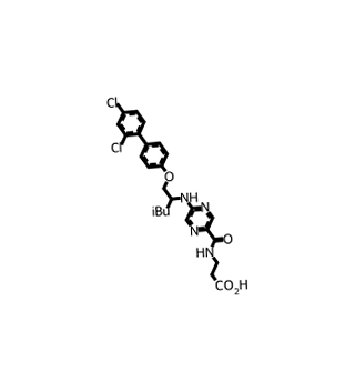 CCC(C)C(COc1ccc(-c2ccc(Cl)cc2Cl)cc1)Nc1cnc(C(=O)NCCC(=O)O)cn1